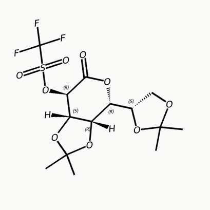 CC1(C)O[C@H]2[C@@H]([C@@H]3COC(C)(C)O3)OC(=O)[C@H](OS(=O)(=O)C(F)(F)F)[C@H]2O1